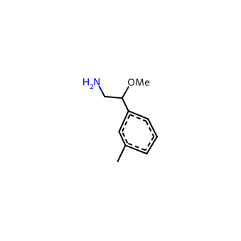 COC(CN)c1cccc(C)c1